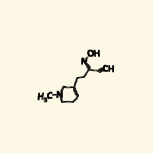 C#CC(CCC1=CCCN(C)C1)=NO